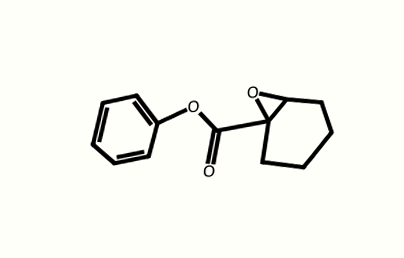 O=C(Oc1ccccc1)C12CCCCC1O2